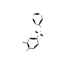 N#Cc1cc(S(=O)(=O)Nc2cncnc2)ccc1F